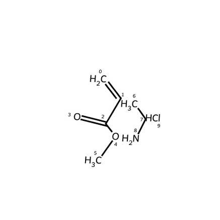 C=CC(=O)OC.CCN.Cl